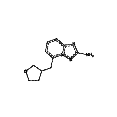 Nc1nc2cccc(CC3CCOC3)n2n1